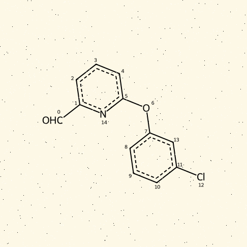 O=Cc1cccc(Oc2cccc(Cl)c2)n1